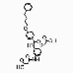 O=C(O)COc1ccc(NC(=O)CC(=O)O)cc1NC(=O)c1ccc(OCCCCc2ccccc2)cc1